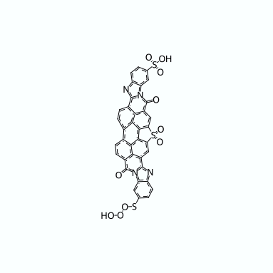 O=c1c2ccc3c4ccc5c6c(cc7c(c8c(cc(c2c38)c2nc3ccc(SOOO)cc3n12)S7(=O)=O)c46)c(=O)n1c2cc(S(=O)(=O)O)ccc2nc51